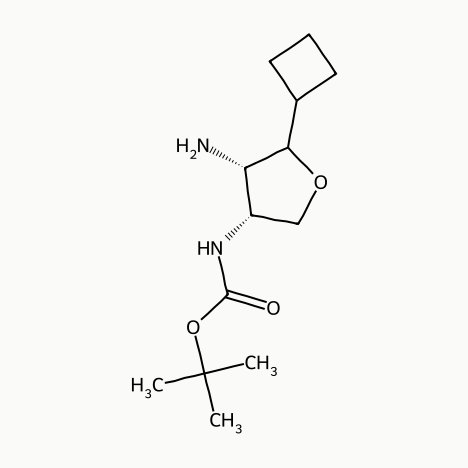 CC(C)(C)OC(=O)N[C@H]1COC(C2CCC2)[C@H]1N